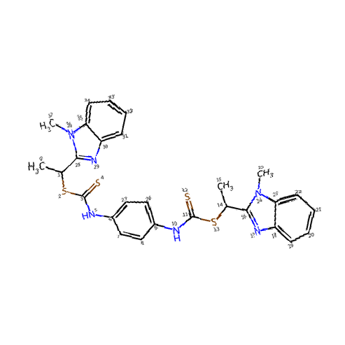 CC(SC(=S)Nc1ccc(NC(=S)SC(C)c2nc3ccccc3n2C)cc1)c1nc2ccccc2n1C